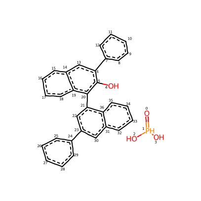 O=[PH](O)O.Oc1c(-c2ccccc2)cc2ccccc2c1-c1cc(-c2ccccc2)cc2ccccc12